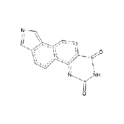 O=C1N=c2c(ccc3c4c(ccc23)C=NC=4)C(=O)N1